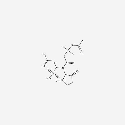 CC(=O)SC(C)(C)CC(=O)N(C(CC(=O)O)S(=O)(=O)O)N1C(=O)CCC1=O